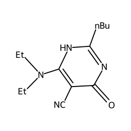 CCCCc1nc(=O)c(C#N)c(N(CC)CC)[nH]1